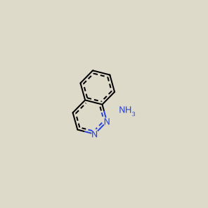 N.c1ccc2nnccc2c1